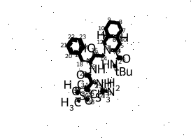 CC(C)(C)NC(=O)[C@@H]1C[C@@H]2CCCC[C@@H]2CN1C[C@@H](O)[C@H](Cc1ccccc1)NC(=O)[C@@H](NC(N)=S)C(C)(C)S(C)(=O)=O